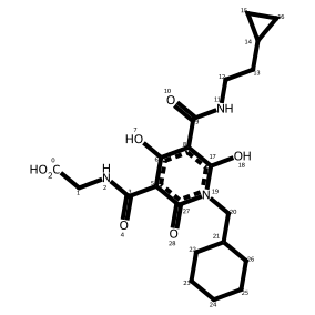 O=C(O)CNC(=O)c1c(O)c(C(=O)NCCC2CC2)c(O)n(CC2CCCCC2)c1=O